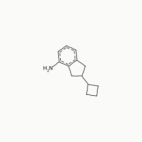 Nc1cccc2c1CC(C1CCC1)C2